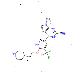 Cn1ccc2c1N=C(C#N)NC2C1=CNC(OCCC2CCNCC2)C(C(F)(F)F)=C1